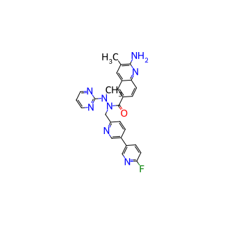 Cc1cc2cc(C(=O)N(Cc3ccc(-c4ccc(F)nc4)cn3)N(C)c3ncccn3)ccc2nc1N